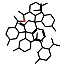 CC1CCC(C(C)C)C(c2ccc3c(c2)C(C2CC(C)CCC2C(C)C)(C2CC(C)CCC2C(C)C)C(=O)CC3(C2CC(C)CCC2C(C)C)C2CC(C)CCC2C(C)C)C1